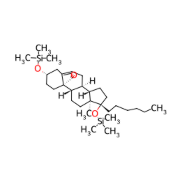 CCCCCC[C@]1(O[Si](C)(C)C)CC[C@H]2[C@@H]3CC=C4C[C@@H](O[Si](C)(C)C)CC[C@]4(C=O)[C@H]3CC[C@@]21C